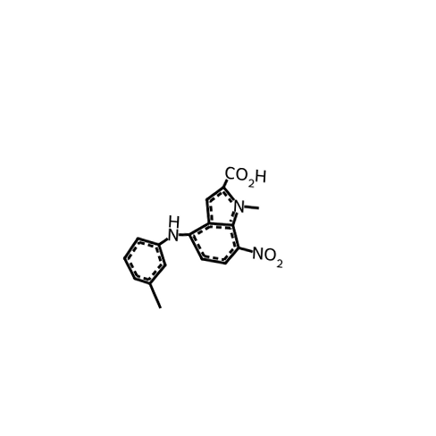 Cc1cccc(Nc2ccc([N+](=O)[O-])c3c2cc(C(=O)O)n3C)c1